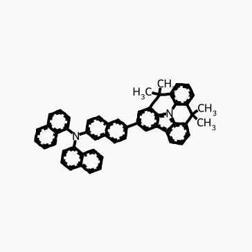 CC1(C)c2cccc3c2-n2c4c1cccc4c1cc(-c4ccc5cc(N(c6cccc7ccccc67)c6cccc7ccccc67)ccc5c4)cc(c12)C3(C)C